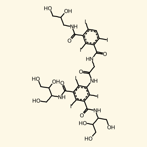 O=C(CNC(=O)c1c(I)cc(I)c(C(=O)NCC(O)CO)c1I)Nc1c(I)c(C(=O)NC(CO)C(O)CO)c(I)c(C(=O)NC(CO)C(O)CO)c1I